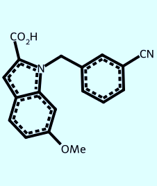 COc1ccc2cc(C(=O)O)n(Cc3cccc(C#N)c3)c2c1